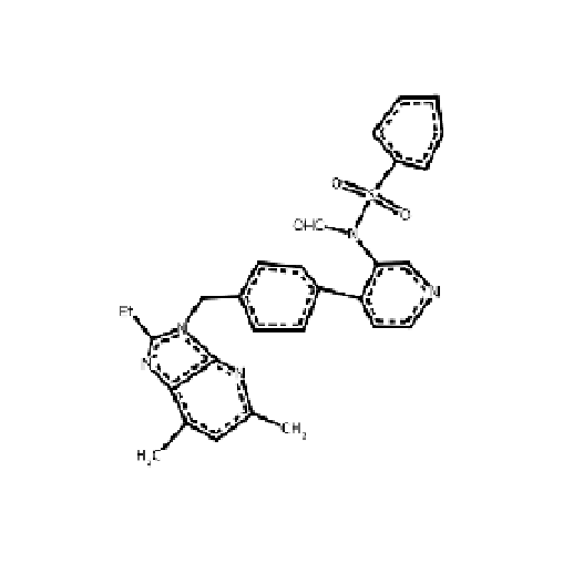 CCc1nc2c(C)cc(C)nc2n1Cc1ccc(-c2ccncc2N(C=O)S(=O)(=O)c2ccccc2)cc1